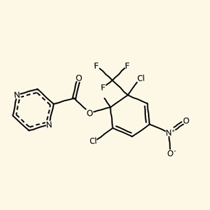 CC1(OC(=O)c2cnccn2)C(Cl)=CC([N+](=O)[O-])=CC1(Cl)C(F)(F)F